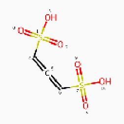 O=S(=O)(O)C=C=CS(=O)(=O)O